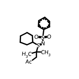 CC(=O)CC(C)(C)S(=NS(=O)(=O)c1ccccc1)C1CCCCC1